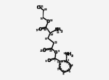 Nc1ccccc1C(=O)OC(=O)CCC(N)C(=O)OCCCl